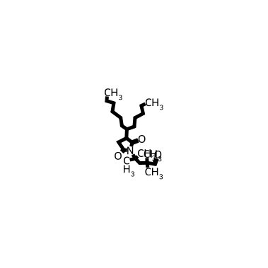 CCCCCCC(CCCCC)C1CC(=O)N(C(C)(C)CC(C)(C)C=O)C1=O